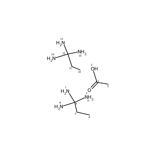 CC(=O)O.CCC(N)(N)N.CCC(N)(N)N